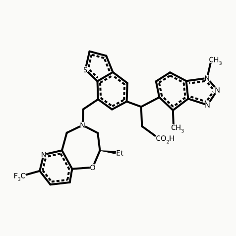 CC[C@@H]1CN(Cc2cc(C(CC(=O)O)c3ccc4c(nnn4C)c3C)cc3ccsc23)Cc2nc(C(F)(F)F)ccc2O1